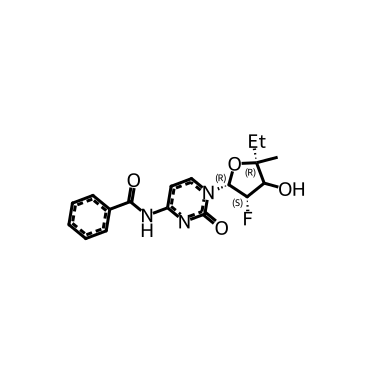 CC[C@@]1(C)O[C@@H](n2ccc(NC(=O)c3ccccc3)nc2=O)[C@@H](F)C1O